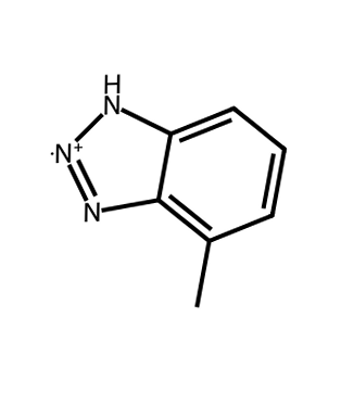 Cc1cccc2c1N=[N+]N2